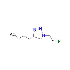 CC(=O)CCCC1CN(CCF)N=N1